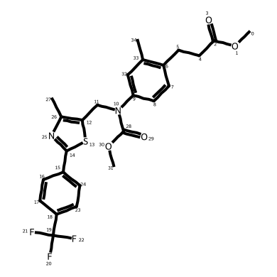 COC(=O)CCc1ccc(N(Cc2sc(-c3ccc(C(F)(F)F)cc3)nc2C)C(=O)OC)cc1C